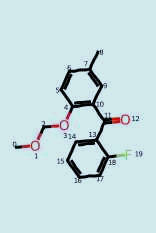 COCOc1ccc(C)cc1C(=O)c1ccccc1F